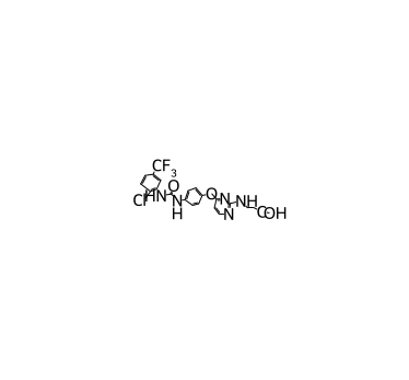 O=C(Nc1ccc(Oc2ccnc(NCCCO)n2)cc1)Nc1cc(C(F)(F)F)ccc1Cl